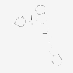 C=CN(/C=C\C)CCCNC(=O)OC1Cc2ccccc2N(S(=O)(=O)c2ccc(Cl)cc2)C1